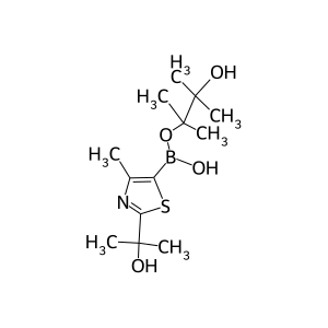 Cc1nc(C(C)(C)O)sc1B(O)OC(C)(C)C(C)(C)O